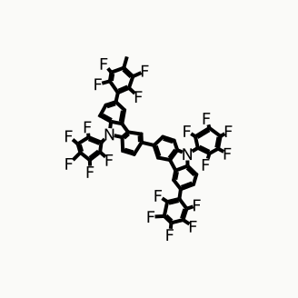 Cc1c(F)c(F)c(-c2ccc3c(c2)c2cc(-c4ccc5c(c4)c4cc(-c6c(F)c(F)c(F)c(F)c6F)ccc4n5-c4c(F)c(F)c(F)c(F)c4F)ccc2n3-c2c(F)c(F)c(F)c(F)c2F)c(F)c1F